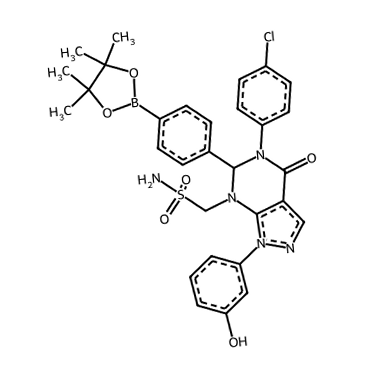 CC1(C)OB(c2ccc(C3N(CS(N)(=O)=O)c4c(cnn4-c4cccc(O)c4)C(=O)N3c3ccc(Cl)cc3)cc2)OC1(C)C